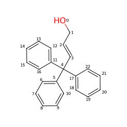 OCC=CC(c1ccccc1)(c1ccccc1)c1ccccc1